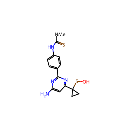 CNC(=S)Nc1ccc(-c2nc(N)cc(C3(SO)CC3)n2)cc1